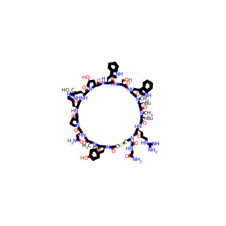 CCCC[C@H]1C(=O)N(C)[C@@H](CCCC)C(=O)N[C@@H](CCCNC(=N)N)C(=O)N[C@H](C(=O)NCC(N)=O)CSCC(=O)N[C@@H](Cc2ccc(O)cc2)C(=O)N(C)[C@@H](C)C(=O)N[C@@H](CC(N)=O)C(=O)N2CCC[C@H]2C(=O)N[C@@H](Cc2cnc[nH]2)C(=O)N[C@@H](CCC(=O)O)C(=O)N2C[C@H](O)C[C@H]2C(=O)N[C@@H](Cc2c[nH]c3ccccc23)C(=O)N[C@@H](CO)C(=O)N[C@@H](Cc2c[nH]c3ccccc23)C(=O)N1C